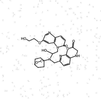 O=C1CNc2ccc(CN(C(O)Cn3c(=O)ccc4ncc(OCCO)cc43)C34CCC(CC3)OC4)nc2O1